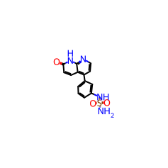 NS(=O)(=O)Nc1cccc(-c2ccnc3[nH]c(=O)ccc23)c1